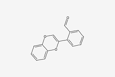 O=Cc1ccccc1C1=COc2ccccc2O1